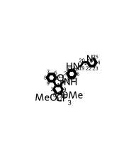 COC1=CC(c2ccccc2)=C(C(=O)Nc2ccc(NCCc3ccccn3)cc2)CC1(OC)C(F)(F)F